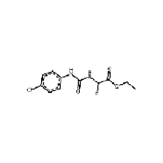 CCOC(=O)C(F)NC(=O)Nc1ccc(Cl)cc1